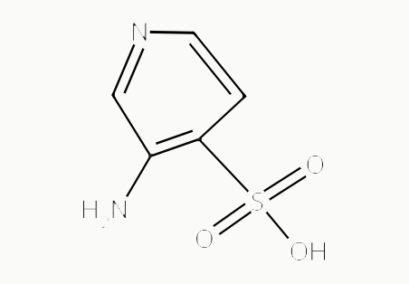 Nc1cnccc1S(=O)(=O)O